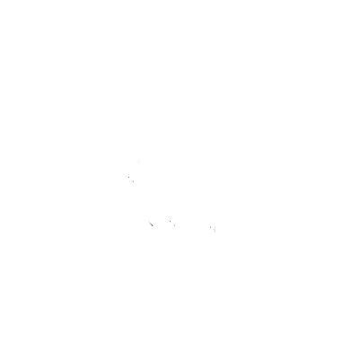 O=C1c2ccc(F)cc2CC[C@@H]2CC[C@H](c3nc(-c4ccc(F)cn4)cs3)CN12